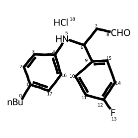 CCCCc1ccc(NC(CC=O)c2ccc(F)cc2)cc1.Cl